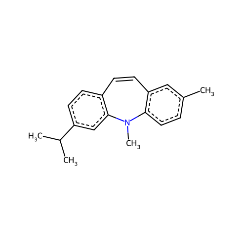 Cc1ccc2c(c1)C=Cc1ccc(C(C)C)cc1N2C